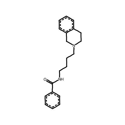 O=C(NCCCCN1CCc2ccccc2C1)c1ccccc1